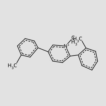 Cc1cccc(-c2ccc(-c3ccccc3C)[n+](C)c2)c1